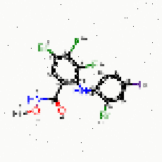 CCONC(=O)c1cc(Br)c(F)c(F)c1Nc1ccc(I)cc1Br